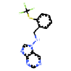 FC(F)(F)Sc1ccccc1CNn1cnc2ncncc21